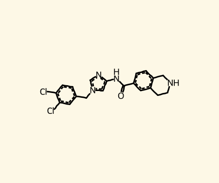 O=C(Nc1cn(Cc2ccc(Cl)c(Cl)c2)cn1)c1ccc2c(c1)CCNC2